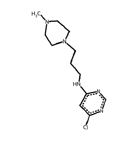 CN1CCN(CCCNc2cc(Cl)ncn2)CC1